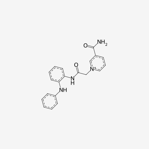 NC(=O)c1ccc[n+](CC(=O)Nc2ccccc2Nc2ccccc2)c1